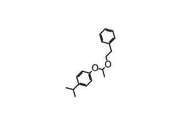 CC(OCCc1ccccc1)Oc1ccc(C(C)C)cc1